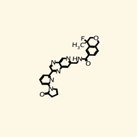 C[C@@]1(F)COCc2ccc(C(=O)NCc3cc4nc(-c5cccc(N6CCCC6=O)n5)cnc4cn3)cc21